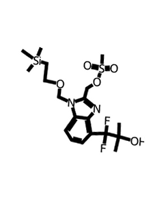 CC(C)(O)C(F)(F)c1cccc2c1nc(COS(C)(=O)=O)n2COCC[Si](C)(C)C